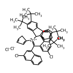 CC(C)(C)c1cc2c(cc1C(C)(C)C)[CH]([Zr+2]([C]1=CC=CC1)=[C](c1cc(Cl)cc3ccccc13)c1cc(Cl)cc3ccccc13)c1cc(C(C)(C)C)c(C(C)(C)C)cc1-2.[Cl-].[Cl-]